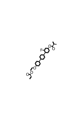 C=CC(=O)O/C=C\Oc1ccc(-c2ccc(-c3ccc(OC(=O)C(=C)C)cc3F)cc2)cc1